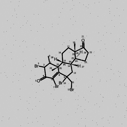 CC1C(Br)C(=O)C(Br)=C2C(Br)(CBr)C[C@@H]3[C@@H](CC[C@]4(C)C(=O)CC[C@@H]34)[C@]21C